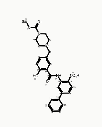 CC(C)(C)OC(=O)N1CCN(Cc2ccc(O)c(C(=O)Nc3cc(-c4ccccc4)ccc3C(=O)O)c2)CC1